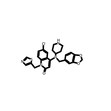 O=c1cc(N(Cc2ccc3c(c2)OCO3)C2CCNCC2)c2cc(Cl)ccc2n1Cc1cncs1